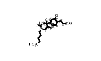 CC(C)C1=CN(CCCCC(=O)O)C(=O)N[C@]1(C)c1ccc(CCC(C)(C)C)c(Cl)c1